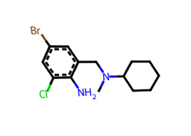 CN(Cc1cc(Br)cc(Cl)c1N)C1CCCCC1